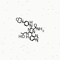 CC(O)CNc1nc(Nc2ccc(N3CCOCC3)cc2)c(C(N)=O)nc1-c1cccc2c1ncn2C